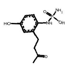 CC(=O)CCc1cc(O)ccc1NP(N)(=O)O